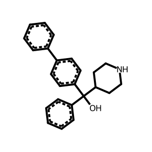 OC(c1ccccc1)(c1ccc(-c2ccccc2)cc1)C1CCNCC1